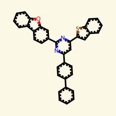 c1ccc(-c2ccc(-c3cc(-c4cc5ccccc5s4)nc(-c4ccc5c(c4)oc4ccccc45)n3)cc2)cc1